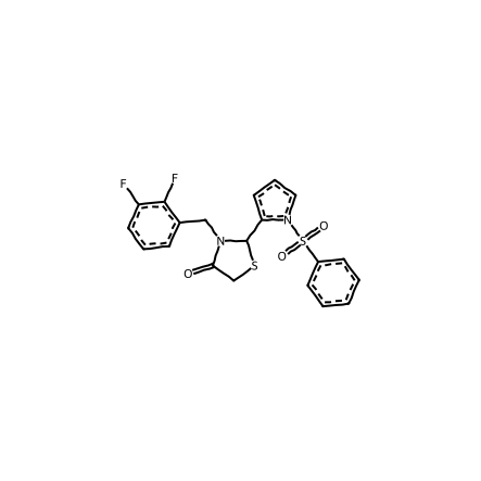 O=C1CSC(c2cccn2S(=O)(=O)c2ccccc2)N1Cc1cccc(F)c1F